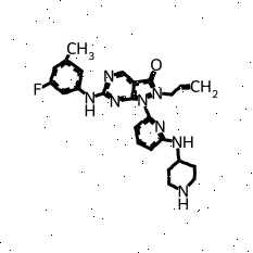 C=CCn1c(=O)c2cnc(Nc3cc(C)cc(F)c3)nc2n1-c1cccc(NC2CCNCC2)n1